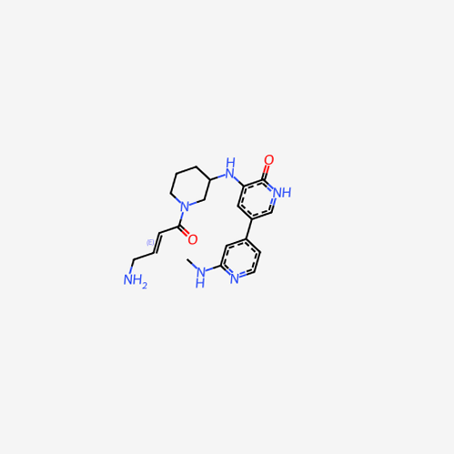 CNc1cc(-c2c[nH]c(=O)c(NC3CCCN(C(=O)/C=C/CN)C3)c2)ccn1